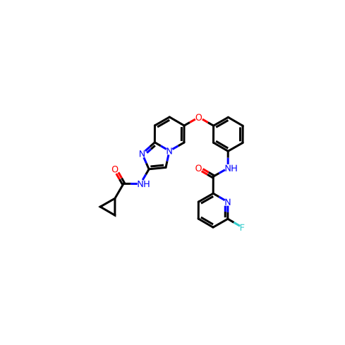 O=C(Nc1cccc(Oc2ccc3nc(NC(=O)C4CC4)cn3c2)c1)c1cccc(F)n1